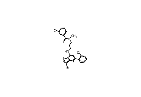 CN(CCCNc1cc(-c2ccccc2Cl)nc2c(Br)cnn12)C(=O)c1cccc(Cl)c1